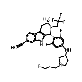 C#Cc1ccc2c3c([nH]c2c1)[C@@H](c1c(F)cc(NC2CCN(CCCF)C2)cc1F)N(CC(F)(F)F)[C@H](C)C3